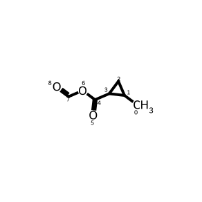 CC1CC1C(=O)OC=O